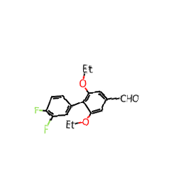 CCOc1cc(C=O)cc(OCC)c1-c1ccc(F)c(F)c1